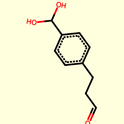 O=CCCc1ccc(C(O)O)cc1